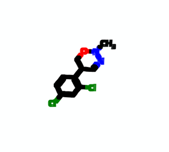 CN1N=CC(c2ccc(Cl)cc2Cl)CO1